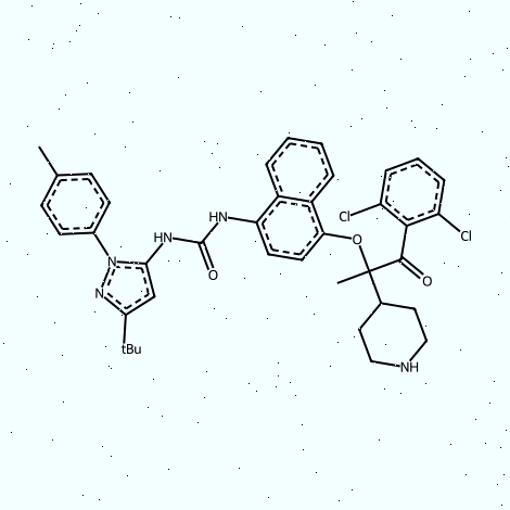 Cc1ccc(-n2nc(C(C)(C)C)cc2NC(=O)Nc2ccc(OC(C)(C(=O)c3c(Cl)cccc3Cl)C3CCNCC3)c3ccccc23)cc1